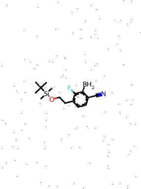 Bc1c(C#N)ccc(CCO[Si](C)(C)C(C)(C)C)c1F